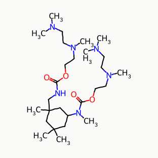 CN(C)CCN(C)CCOC(=O)NCC1(C)CC(N(C)C(=O)OCCN(C)CCN(C)C)CC(C)(C)C1